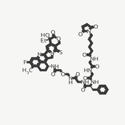 CC[C@@]1(O)C(=O)OCc2c1cc1n(c2=S)Cc2c-1nc1cc(F)c(C)c3c1c2[C@H](NC(=O)COCNC(=O)CNC(=O)[C@H](Cc1ccccc1)NC(=O)CNC(=O)CNC(=O)CCCCCN1C(=O)C=CC1=O)CC3